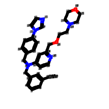 COc1cccc(CN(Cc2ccc(-n3ccnc3)cc2)c2ccnc(COCCN3CCOCC3)c2)c1